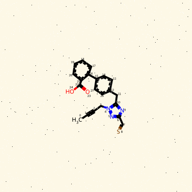 CC#CCn1nc(C=S)nc1Cc1ccc(-c2ccccc2C(=O)O)cc1